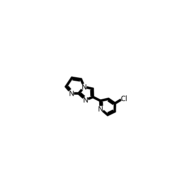 Clc1ccnc(-c2cn3cccnc3n2)c1